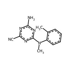 Cc1ccccc1N(C)c1nc(N)nc(C#N)n1